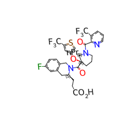 CCC[C@H]1N(C(=O)c2ncccc2C(F)(F)F)CCC[C@]1(Oc1csc(C(F)(F)F)c1)C(=O)N1Cc2ccc(F)cc2C[C@@H]1CCC(=O)O